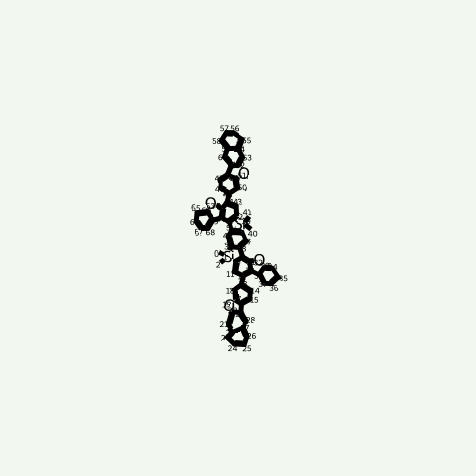 C[Si]1(C)c2cc3c(cc2-c2c1cc(-c1ccc4c(c1)oc1cc5ccccc5cc14)c1c2oc2ccccc21)[Si](C)(C)c1cc(-c2ccc4c(c2)oc2cc5ccccc5cc24)c2oc4ccccc4c2c1-3